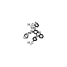 Cc1ccc(N2c3ccccc3N=C3C=C(Nc4cccnc4C)/C(=N/CCN4CCOCC4)CC32)cc1